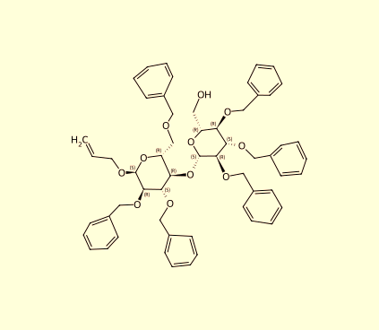 C=CCO[C@H]1O[C@H](COCc2ccccc2)[C@@H](O[C@@H]2O[C@H](CO)[C@@H](OCc3ccccc3)[C@H](OCc3ccccc3)[C@H]2OCc2ccccc2)[C@H](OCc2ccccc2)[C@H]1OCc1ccccc1